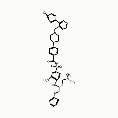 CN(C)CC[C@H](CSc1ccccc1)Nc1ccc(S(=O)(=O)NC(=O)c2ccc(C3CCN(Cc4ccccc4-c4ccc(Cl)cc4)CC3)cc2)cc1[N+](=O)[O-]